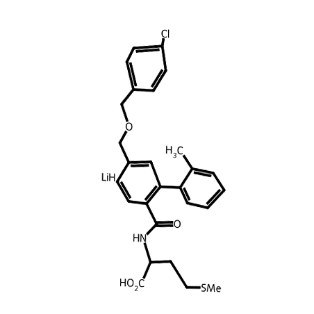 CSCCC(NC(=O)c1ccc(COCc2ccc(Cl)cc2)cc1-c1ccccc1C)C(=O)O.[LiH]